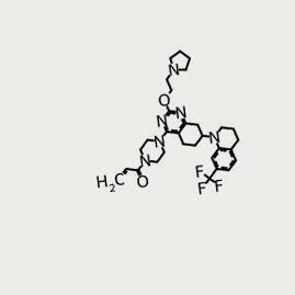 C=CC(=O)N1CCN(c2nc(OCCN3CCCC3)nc3c2CCC(N2CCCc4ccc(C(F)(F)F)cc42)C3)CC1